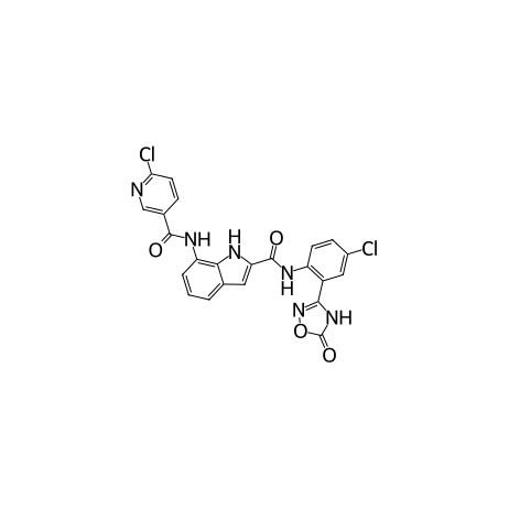 O=C(Nc1cccc2cc(C(=O)Nc3ccc(Cl)cc3-c3noc(=O)[nH]3)[nH]c12)c1ccc(Cl)nc1